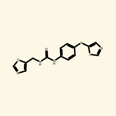 O=C(NCc1cnco1)Nc1ccc(Sc2cncs2)cc1